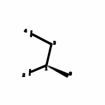 C[C@H](I)CI